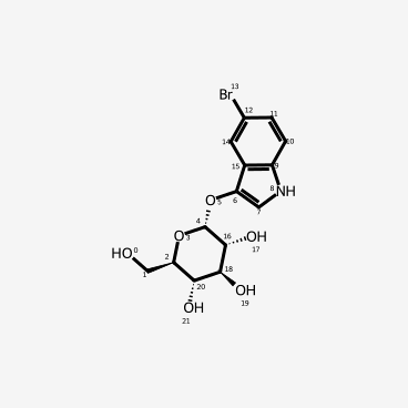 OC[C@H]1O[C@H](Oc2c[nH]c3ccc(Br)cc23)[C@H](O)[C@@H](O)[C@@H]1O